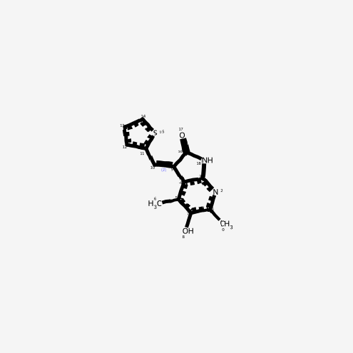 Cc1nc2c(c(C)c1O)/C(=C/c1cccs1)C(=O)N2